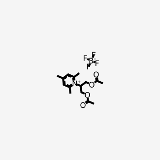 CC(=O)OCC(COC(C)=O)[n+]1c(C)cc(C)cc1C.F[B-](F)(F)F